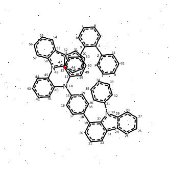 c1ccc(-c2ccccc2-c2ccc(N(c3ccc(-c4cccc5c6ccccc6n(-c6ccccc6)c45)cc3)c3ccccc3-n3c4ccccc4c4ccccc43)cc2)cc1